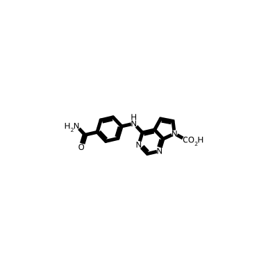 NC(=O)c1ccc(Nc2ncnc3c2ccn3C(=O)O)cc1